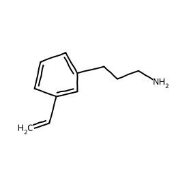 C=Cc1cccc(CCCN)c1